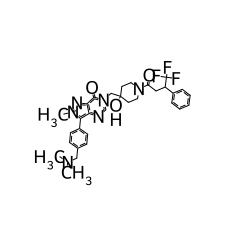 CN(C)Cc1ccc(-c2c3ncn(CC4(O)CCN(C(=O)CC(c5ccccc5)C(F)(F)F)CC4)c(=O)c3nn2C)cc1